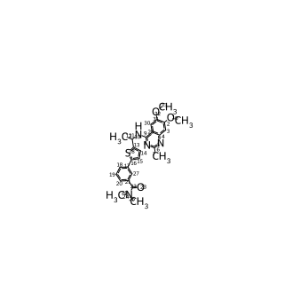 COc1cc2nc(C)nc(NC(C)c3ccc(-c4cccc(C(=O)N(C)C)c4)s3)c2cc1OC